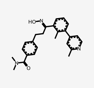 Cc1cc(-c2cccc(/C(CCc3ccc(C(=O)N(C)C)cc3)=N/O)c2C)ccn1